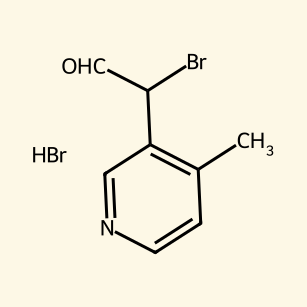 Br.Cc1ccncc1C(Br)C=O